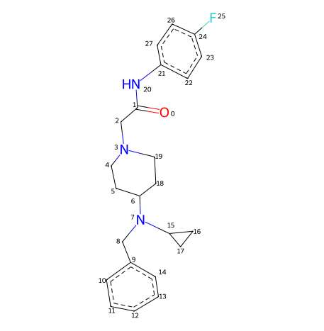 O=C(CN1CCC(N(Cc2ccccc2)C2CC2)CC1)Nc1ccc(F)cc1